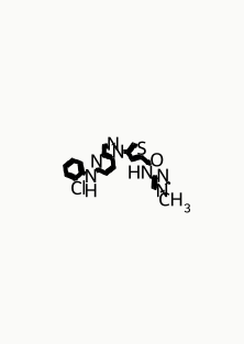 Cn1cnc(NC(=O)c2cc(-n3ncc4nc(Nc5ccccc5Cl)ccc43)cs2)c1